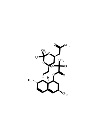 CCC(C)(C)C(=O)O[C@H]1C[C@@H](C)C=C2C=C[C@H](C)[C@H](CC[C@@H]3C[C@H](CC(N)=O)OC(C)(C)O3)[C@H]21